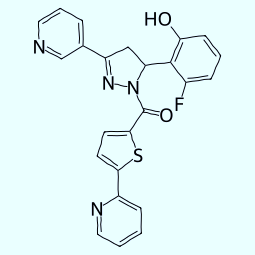 O=C(c1ccc(-c2ccccn2)s1)N1N=C(c2cccnc2)CC1c1c(O)cccc1F